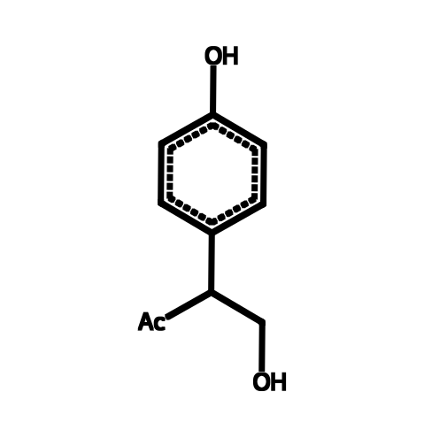 CC(=O)C(CO)c1ccc(O)cc1